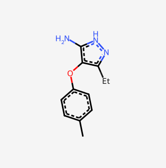 CCc1n[nH]c(N)c1Oc1ccc(C)cc1